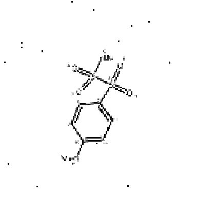 CCCCS(=O)(=O)S(=O)(=O)c1ccc(OC)cc1